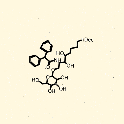 CCCCCCCCCCCCCCC(O)C(O)C(COC1OC(CO)C(O)C(O)C1O)NC(=O)C(c1ccccc1)c1ccccc1